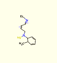 CC/N=C\C=C/CN(S)C1C=CC=CC1C